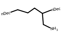 CCCCCCCCCCCCCC(CN)CCCCCCCCCC